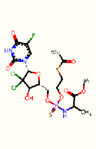 CC(C)OC(=O)C(C)NP(=S)(OCCSC(=O)C(C)(C)C)OC[C@H]1O[C@@H](n2cc(F)c(=O)[nH]c2=O)C(Cl)(Cl)[C@@H]1O